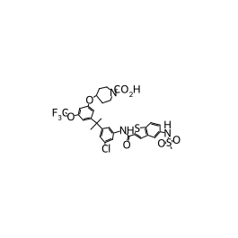 CC(C)(c1cc(Cl)cc(NC(=O)c2cc3cc(NS(C)(=O)=O)ccc3s2)c1)c1cc(OC2CCN(C(=O)O)CC2)cc(OC(F)(F)F)c1